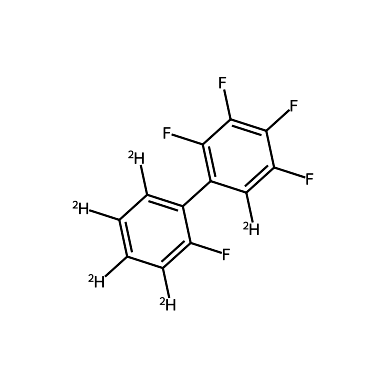 [2H]c1c([2H])c([2H])c(-c2c([2H])c(F)c(F)c(F)c2F)c(F)c1[2H]